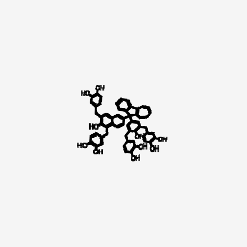 Oc1ccc(Cc2cc(C3(c4ccc5c(Cc6ccc(O)c(O)c6)c(O)c(Cc6ccc(O)c(O)c6)cc5c4)C4=C(C=C=CC=C4)c4ccccc43)cc(Cc3ccc(O)c(O)c3)c2O)cc1O